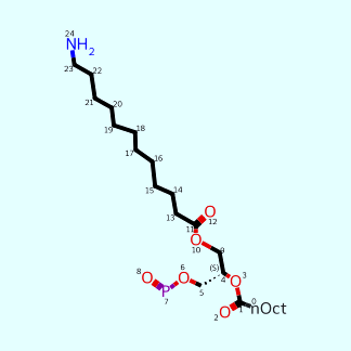 CCCCCCCCC(=O)O[C@H](COP=O)COC(=O)CCCCCCCCCCCN